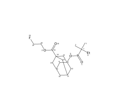 CCC(C)(C)C(=O)OC12CC3CC(C1)CC(C(=O)OCCF)(C3)C2